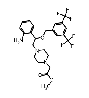 COC(=O)CN1CCN(CC(OCc2cc(C(F)(F)F)cc(C(F)(F)F)c2)c2ccccc2N)CC1